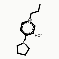 CCC[n+]1ccc(N2CCCC2)cc1.[OH-]